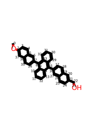 COc1ccc2cc(-c3c4ccccc4c(-c4ccc5cc(CO)ccc5c4)c4ccccc34)ccc2c1